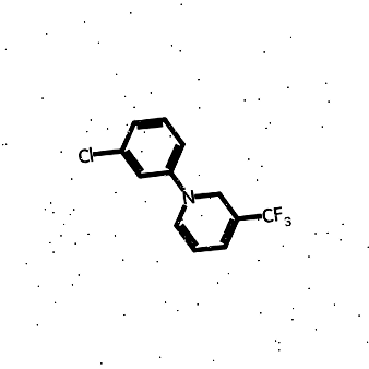 FC(F)(F)C1=CC=CN(c2cccc(Cl)c2)C1